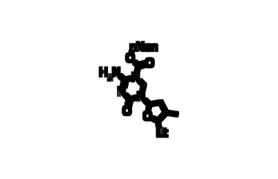 CCCCCCCCCOC(=O)N1CN(C2CC(C)C(CC)O2)C(=O)N=C1N